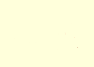 COc1cc2c(c3c1c(=O)c1cc4ccccc4cc1n3C)C(OC(C)=O)C(OC(=O)/C=C/c1ccc(C(F)(F)F)cc1)C(C)(C)O2